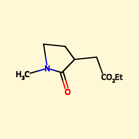 CCOC(=O)CC1CCN(C)C1=O